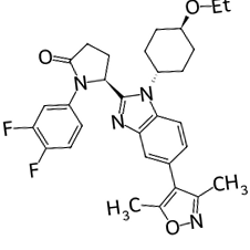 CCO[C@H]1CC[C@H](n2c([C@@H]3CCC(=O)N3c3ccc(F)c(F)c3)nc3cc(-c4c(C)noc4C)ccc32)CC1